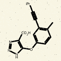 Cc1ccc(Oc2[nH]nnc2C(=O)O)cc1C#CC(C)C